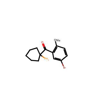 COc1ccc(Br)cc1C(=O)C1(P)CCCCC1